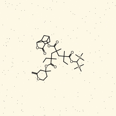 C=C1CC(C)(OC(=O)C(C)(CC)CC(C)(CC(C)(CC)C(=O)OC([Si](C)(C)C)[Si](C)(C)C)C(=O)OC2C3CC4C(=O)OC2C4C3)CCO1